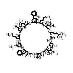 CC(C)CCCC1CC(=O)NC(CO)C(=O)CC(C(O)C(N)=O)C(=O)NC(CO)C(=O)NCC(=O)N(C)C(Cc2ccccc2)C(=O)NC(CC(C)C)C(=O)NC(CCCN)C(=O)CC(CCC(=O)O)C(=O)NC(CC(N)=O)C(=O)CC(Cc2c[nH]c3ccccc23)C(=O)NC(CCCN)C(=O)N(C)C(C(C)C)C(=O)O1